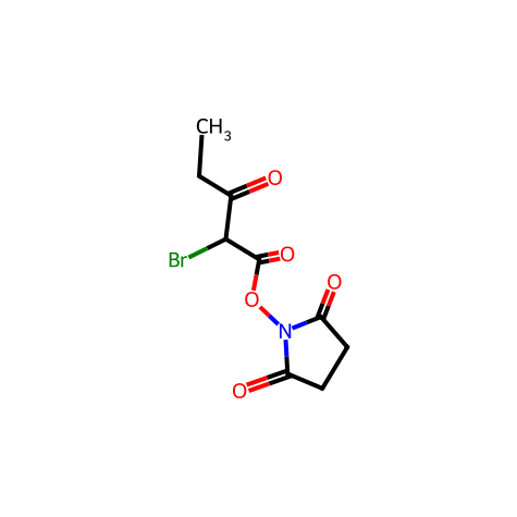 CCC(=O)C(Br)C(=O)ON1C(=O)CCC1=O